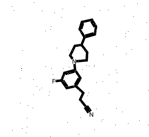 N#CCCc1cc(F)cc(N2CCC(c3ccccc3)CC2)c1